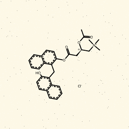 CC(=O)O[C@H](CC(=O)Oc1ccc2ccccc2c1Cc1c(O)ccc2ccccc12)C[N+](C)(C)C.[Cl-]